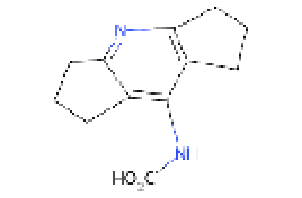 O=C(O)Nc1c2c(nc3c1CCC3)CCC2